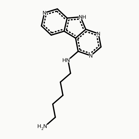 NCCCCCNc1ncnc2[nH]c3cnccc3c12